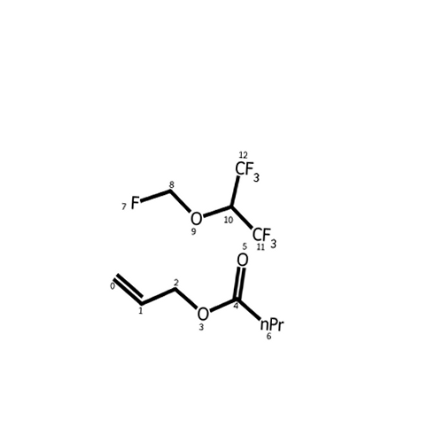 C=CCOC(=O)CCC.FCOC(C(F)(F)F)C(F)(F)F